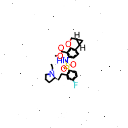 CCN1CCC[C@@H]1CCc1cc(F)ccc1S(=O)(=O)Nc1ccc2c(c1C(=O)OC)OC[C@@H]1C[C@H]21